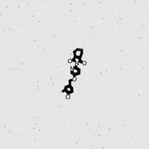 Cc1cc(COc2ccc(N3C(=O)C4=C(CCCC4)C3=O)nc2)ccc1Cl